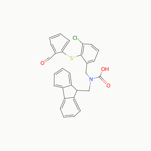 O=Cc1ccccc1Sc1c(Cl)cccc1CN(CC1c2ccccc2-c2ccccc21)C(=O)O